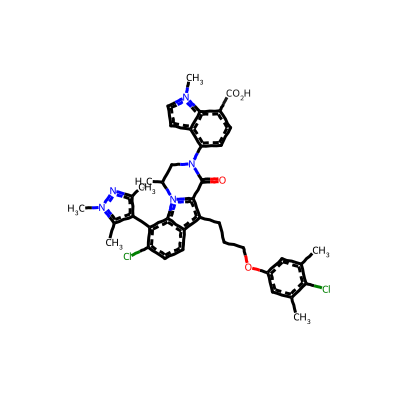 Cc1cc(OCCCc2c3n(c4c(-c5c(C)nn(C)c5C)c(Cl)ccc24)C(C)CN(c2ccc(C(=O)O)c4c2ccn4C)C3=O)cc(C)c1Cl